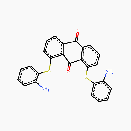 Nc1ccccc1Sc1cccc2c1C(=O)c1c(Sc3ccccc3N)cccc1C2=O